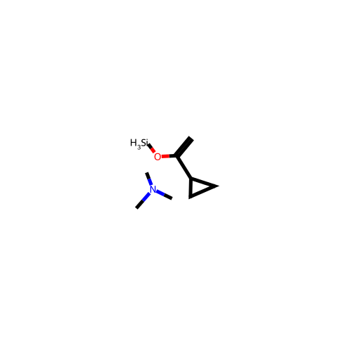 C=C(O[SiH3])C1CC1.CN(C)C